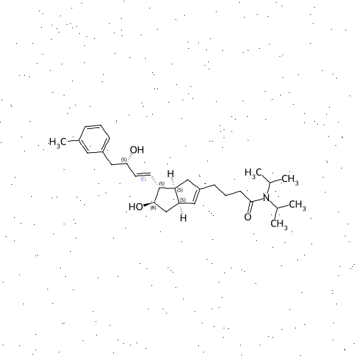 Cc1cccc(C[C@H](O)/C=C/[C@@H]2[C@H]3CC(CCCC(=O)N(C(C)C)C(C)C)=C[C@H]3C[C@H]2O)c1